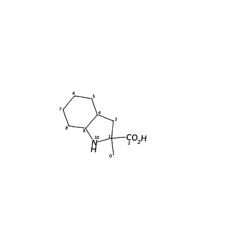 CC1(C(=O)O)CC2CCCCC2N1